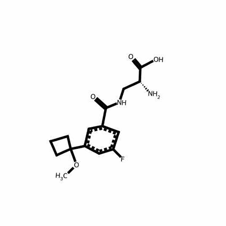 COC1(c2cc(F)cc(C(=O)NC[C@@H](N)C(=O)O)c2)CCC1